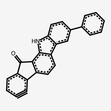 O=C1c2ccc#cc2-c2ccc3c([nH]c4ccc(-c5ccccc5)cc43)c21